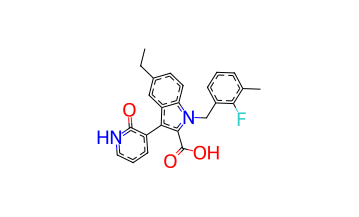 CCc1ccc2c(c1)c(-c1ccc[nH]c1=O)c(C(=O)O)n2Cc1cccc(C)c1F